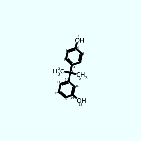 CC(C)(c1ccc(O)cc1)c1cccc(O)c1